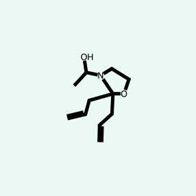 C=CCC1(CC=C)OCCN1C(C)O